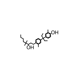 CCCCC(C)(C)C(O)CCc1ccc(C(CC)(CC)c2ccc(O)c(C)c2)cc1C